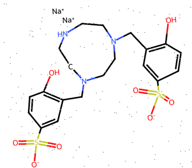 O=S(=O)([O-])c1ccc(O)c(CN2CCNCCN(Cc3cc(S(=O)(=O)[O-])ccc3O)CC2)c1.[Na+].[Na+]